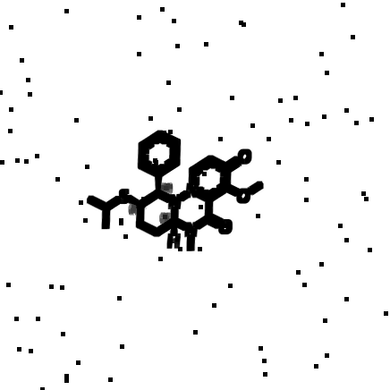 COc1c2n(ccc1=O)N1[C@H](c3ccccc3)[C@H](SC(C)C)CC[C@H]1N(C)C2=O